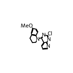 COc1ccc2c(c1)CCCN2c1nc(Cl)nc2ncccc12